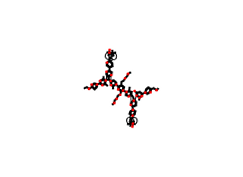 CCCCCCc1cc(-c2ccc(N(c3ccc(-c4ccc(B5OC(C)(C)C(C)(C)O5)cc4)cc3)c3c(C)cc(-c4ccc(CCC)cc4)cc3C)cc2C)c(CCCCCC)cc1-c1ccc(N(c2ccc(-c3ccc(B4OC(C)(C)C(C)(C)O4)cc3)cc2)c2c(C)cc(-c3ccc(CCC)cc3)cc2C)cc1C